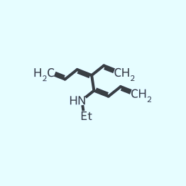 C=C/C=C(C=C)\C(=C/C=C)NCC